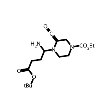 CCOC(=O)N1CCN(C(N)CCC(=O)OC(C)(C)C)C(=C=O)C1